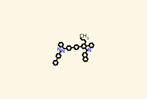 C/C=C\C=C/c1cc(-c2ccc(-c3ccc(-c4nc(-c5ccc(-c6ccccc6)cc5)nc5ccccc45)cc3)cc2)cc2c(-c3ccc4ccccc4c3)nc3ccccc3c12